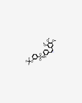 COc1cc(/C=C\c2cccc(NS(=O)(=O)c3cccc(OC(F)(F)F)c3)c2)cc(OC)c1OC